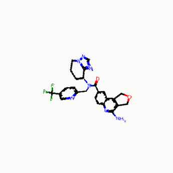 Nc1nc2ccc(C(=O)N(Cc3ccc(C(F)(F)F)cn3)[C@H]3CCCn4ncnc43)cc2c2c1COC2